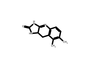 Cc1ccc2c(c1C)CC1NC(=O)NC1=N2